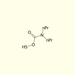 CCCN(CCC)C(=O)OS